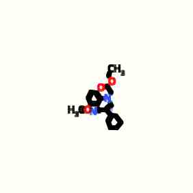 CCOC(=O)CN(/C=C(\C#N)C1=CCCCC1)c1cccc(OC)c1